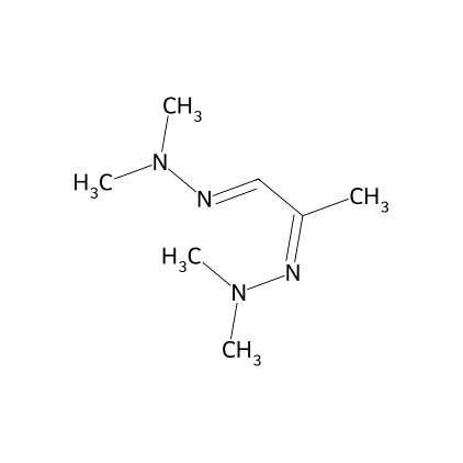 CC(C=NN(C)C)=NN(C)C